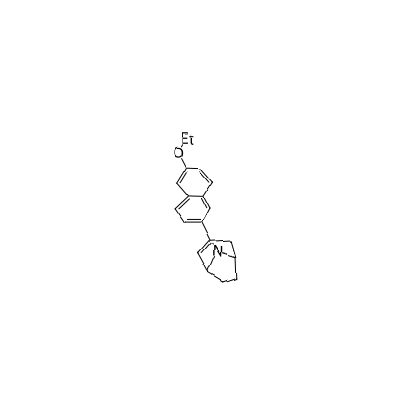 CCOc1ccc2cc(C3=CC4CCC(C3)N4C)ccc2c1